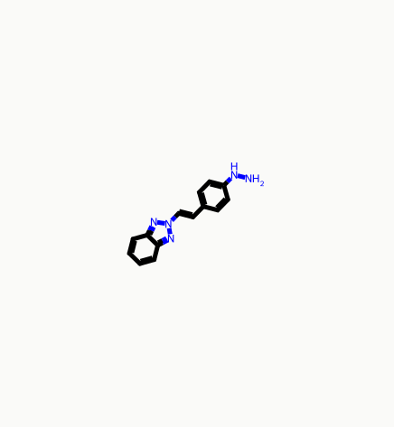 NNc1ccc(C=Cn2nc3ccccc3n2)cc1